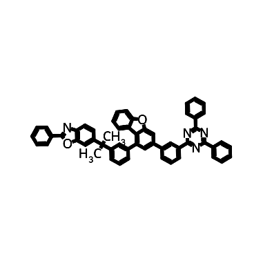 CC(C)(c1cccc(-c2cc(-c3cccc(-c4nc(-c5ccccc5)nc(-c5ccccc5)n4)c3)cc3oc4ccccc4c23)c1)c1ccc2nc(-c3ccccc3)oc2c1